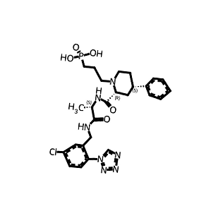 C[C@H](NC(=O)[C@H]1C[C@@H](c2ccccc2)CCN1CCCP(=O)(O)O)C(=O)NCc1cc(Cl)ccc1-n1cnnn1